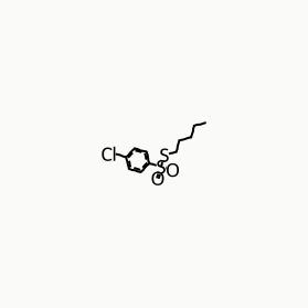 CCCCCSS(=O)(=O)c1ccc(Cl)cc1